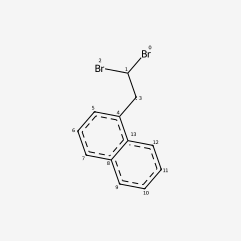 BrC(Br)[CH]c1cccc2ccccc12